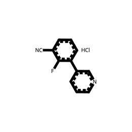 Cl.N#Cc1cccc(-c2cccnc2)c1F